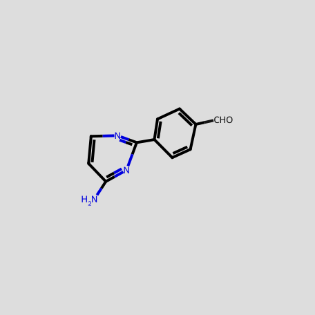 Nc1ccnc(-c2ccc(C=O)cc2)n1